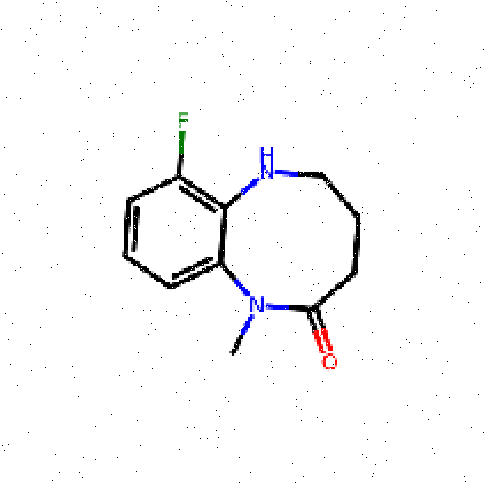 CN1C(=O)CCCNc2c(F)cccc21